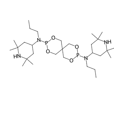 CCCN(C1CC(C)(C)NC(C)(C)C1)P1OCC2(CO1)COP(N(CCC)C1CC(C)(C)NC(C)(C)C1)OC2